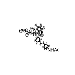 CC(=O)Nc1ccc(CCc2cccc(C(=O)Nc3c(F)c(F)c(F)c(C)c3N3CCN(C(=O)OC(C)(C)C)CC3)c2)cn1